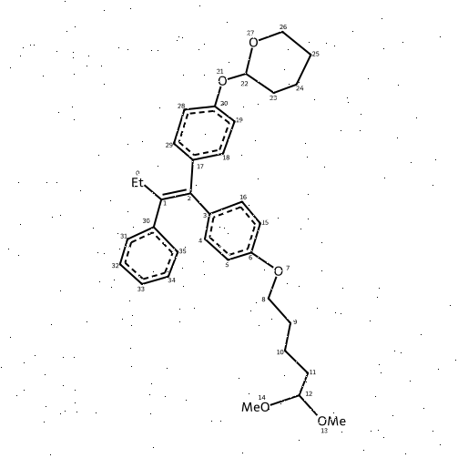 CC/C(=C(/c1ccc(OCCCCC(OC)OC)cc1)c1ccc(OC2CCCCO2)cc1)c1ccccc1